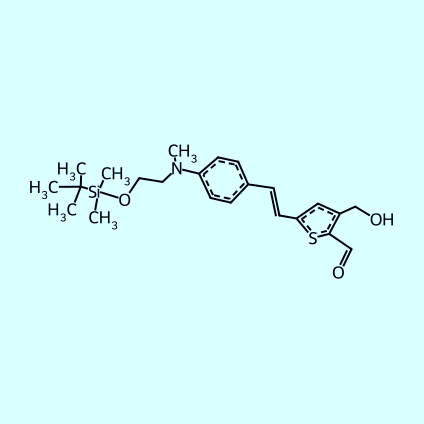 CN(CCO[Si](C)(C)C(C)(C)C)c1ccc(C=Cc2cc(CO)c(C=O)s2)cc1